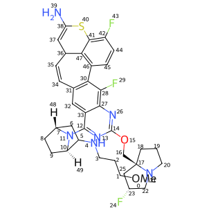 COCCCNC1C[C@H]2CC[C@H]1N2c1nc(OC[C@@]23CCCN2C[C@H](F)C3)nc2c(F)c3c(cc12)C=CC1C=C(N)Sc2c(F)ccc-3c21